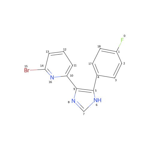 Fc1ccc(-c2[nH]cnc2-c2cccc(Br)n2)cc1